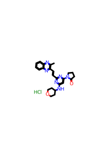 Cc1nc2ccccc2nc1C=Cc1nc(NC2CCOCC2)cc(N2CCCC2=O)n1.Cl